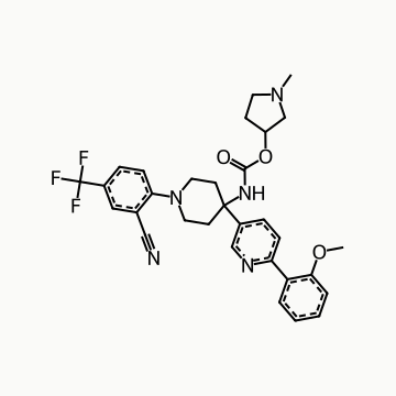 COc1ccccc1-c1ccc(C2(NC(=O)OC3CCN(C)C3)CCN(c3ccc(C(F)(F)F)cc3C#N)CC2)cn1